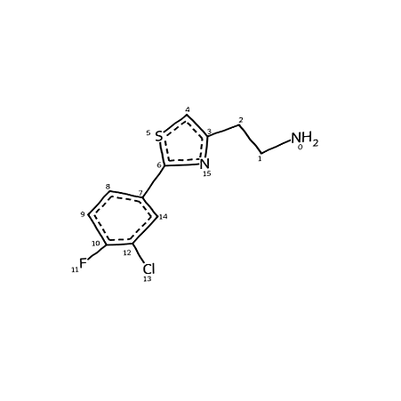 NCCc1csc(-c2ccc(F)c(Cl)c2)n1